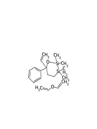 C=CC1(c2ccccc2)CC[Si](C)(C)[Si](C)(C)O1.C=COC=C